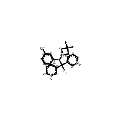 FC1(F)CN(C(c2cccc(Cl)c2)C(F)(c2cccnc2)c2cccnc2)C1